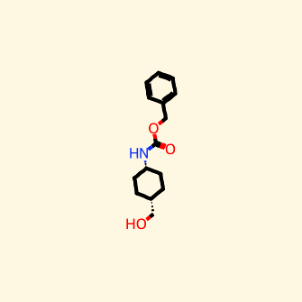 O=C(N[C@H]1CC[C@@H](CO)CC1)OCc1ccccc1